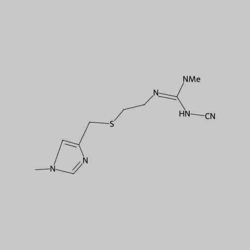 CN/C(=N/CCSCc1cn(C)cn1)NC#N